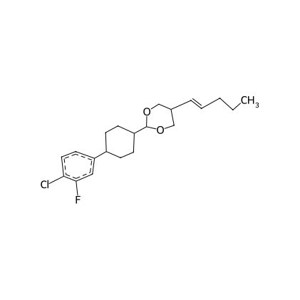 CCC/C=C/C1COC(C2CCC(c3ccc(Cl)c(F)c3)CC2)OC1